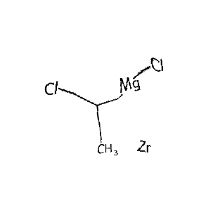 C[CH](Cl)[Mg][Cl].[Zr]